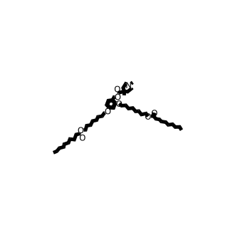 CCCCCCCCCC(=O)OCCCCCCCCOc1ccc(COC(=O)C2(C)CCN(C)CC2)c(OCCCCCCCCOC(=O)CCCCCCCCC)c1